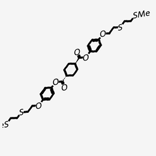 CSCCSCCOc1ccc(OC(=O)[C@H]2CC[C@H](C(=O)Oc3ccc(OCCSCCSC)cc3)CC2)cc1